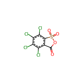 O=C1OS(=O)(=O)c2c(Cl)c(Cl)c(Cl)c(Cl)c21